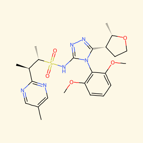 COc1cccc(OC)c1-n1c(NS(=O)(=O)[C@@H](C)[C@H](C)c2ncc(C)cn2)nnc1[C@H]1CCO[C@H]1C